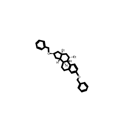 CC[C@H]1C[C@]2(CC)C[C@H](OCc3ccccc3)C[C@H]2[C@@H]2CCc3cc(OCc4ccccc4)ccc3[C@@H]12